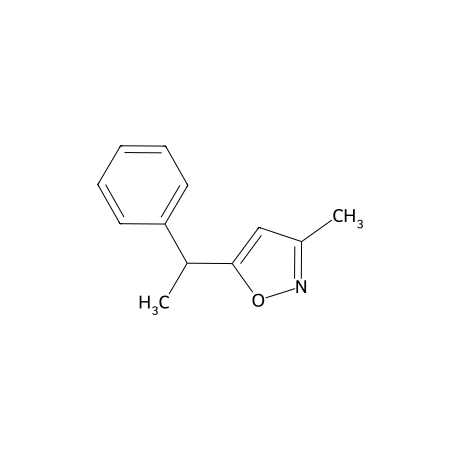 Cc1cc(C(C)c2ccccc2)on1